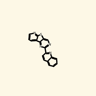 c1ccc2nc(-c3ncc4sc5ncccc5c4n3)ccc2c1